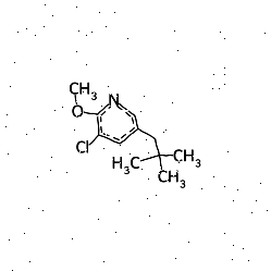 COc1ncc(CC(C)(C)C)cc1Cl